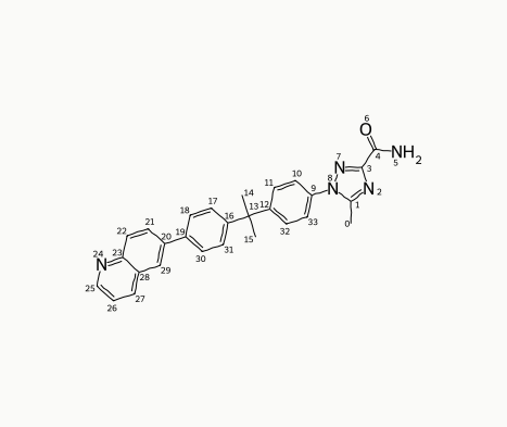 Cc1nc(C(N)=O)nn1-c1ccc(C(C)(C)c2ccc(-c3ccc4ncccc4c3)cc2)cc1